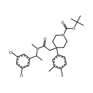 Cc1cc(C2(CC(=O)N(C)C(C)c3cc(Cl)cc(Cl)c3)CCN(C(=O)OC(C)(C)C)CC2)ccc1F